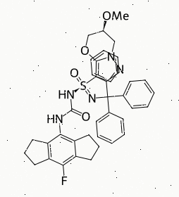 CO[C@@H]1COc2c([S@@](=O)(=NC(c3ccccc3)(c3ccccc3)c3ccccc3)NC(=O)Nc3c4c(c(F)c5c3CCC5)CCC4)cnn2C1